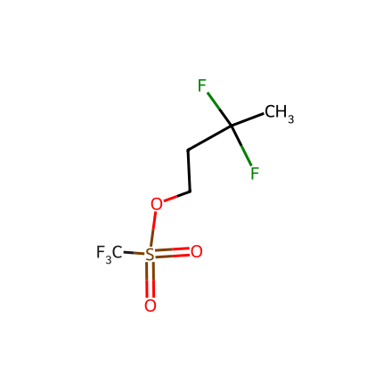 CC(F)(F)CCOS(=O)(=O)C(F)(F)F